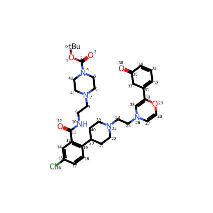 CC(C)(C)OC(=O)N1CCN(CCNC(=O)c2cc(Cl)ccc2C2CCN(CCN3C=COC(C4=CC=CC(=O)C4)=C3)CC2)CC1